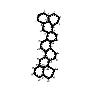 c1cc2cccc3c4ccc5c6ccc7c(cc8cccc9cccc7c98)c6ccc5c4cc(c1)c23